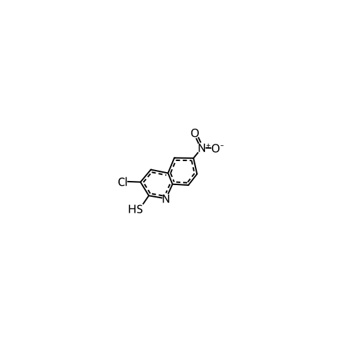 O=[N+]([O-])c1ccc2nc(S)c(Cl)cc2c1